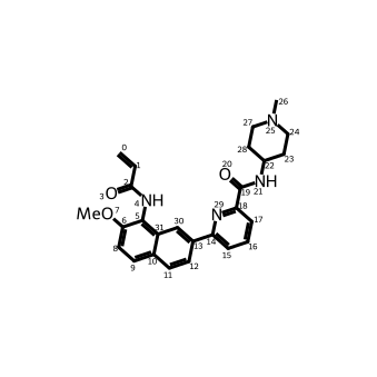 C=CC(=O)Nc1c(OC)ccc2ccc(-c3cccc(C(=O)NC4CCN(C)CC4)n3)cc12